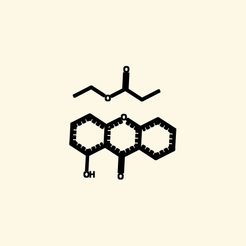 CCOC(=O)CC.O=c1c2ccccc2oc2cccc(O)c12